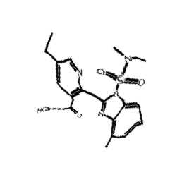 CCc1cnc(-c2nc3c(C)cccc3n2S(=O)(=O)N(C)C)c(C(=O)O)c1